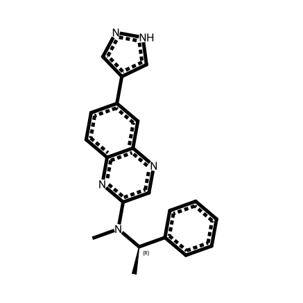 C[C@H](c1ccccc1)N(C)c1cnc2cc(-c3cn[nH]c3)ccc2n1